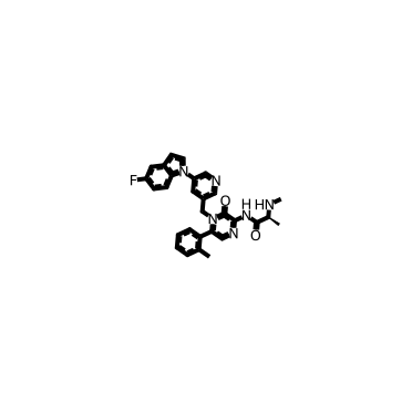 CN[C@@H](C)C(=O)Nc1ncc(-c2ccccc2C)n(Cc2cncc(-n3ccc4cc(F)ccc43)c2)c1=O